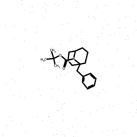 CC(C)(C)OC(=O)N1C2CCCC1(Cc1ccccc1)CNC2